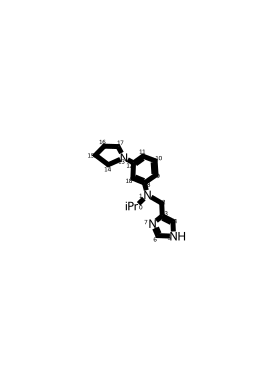 CC(C)N(Cc1c[nH]cn1)c1cccc(N2CCCC2)c1